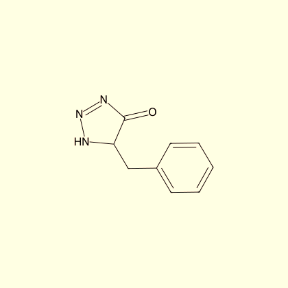 O=C1N=NNC1Cc1ccccc1